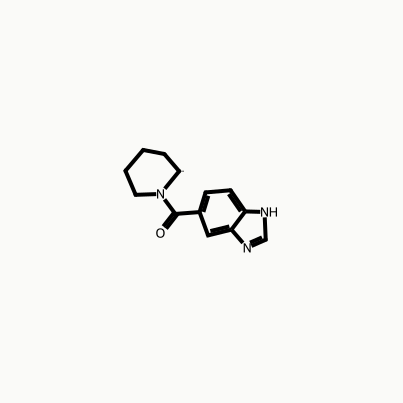 O=C(c1ccc2[nH]cnc2c1)N1[CH]CCCC1